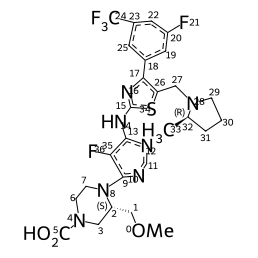 COC[C@@H]1CN(C(=O)O)CCN1c1ncnc(Nc2nc(-c3cc(F)cc(C(F)(F)F)c3)c(CN3CCC[C@H]3C)s2)c1F